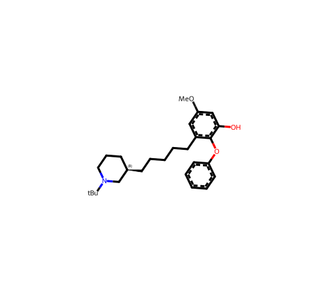 COc1cc(O)c(Oc2ccccc2)c(CCCCC[C@@H]2CCCN(C(C)(C)C)C2)c1